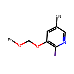 CCOCOc1cc(C#N)cnc1I